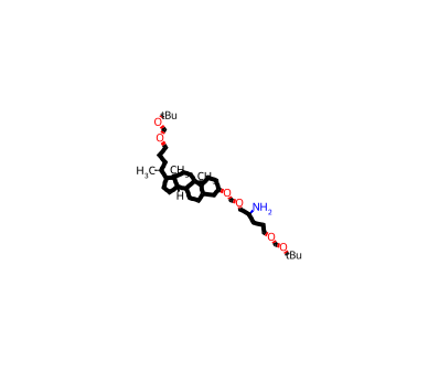 C[C@H](CCCOCOC(C)(C)C)C1CC[C@H]2C3CCC4CC(OCOC[C@@H](N)CCCOCOC(C)(C)C)CCC4(C)C3CCC12C